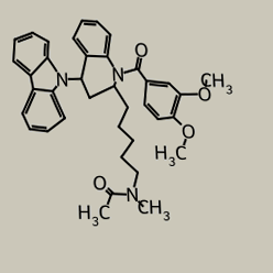 COc1ccc(C(=O)N2c3ccccc3C(n3c4ccccc4c4ccccc43)CC2CCCCCN(C)C(C)=O)cc1OC